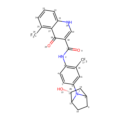 O=C(Nc1ccc(N2C3CCC2[C@H](O)C3)cc1C(F)(F)F)c1c[nH]c2cccc(C(F)(F)F)c2c1=O